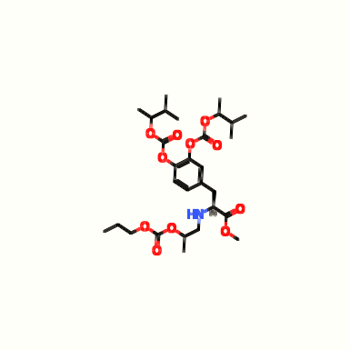 CCCOC(=O)OC(C)CN[C@@H](Cc1ccc(OC(=O)OC(C)C(C)C)c(OC(=O)OC(C)C(C)C)c1)C(=O)OC